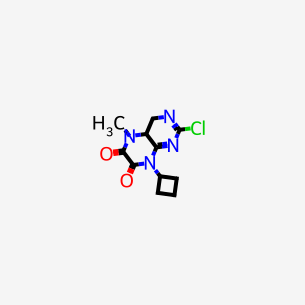 CN1C(=O)C(=O)N(C2CCC2)C2=NC(Cl)=NCC21